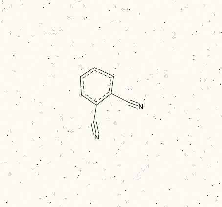 N#Cc1[c]cccc1C#N